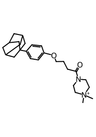 C[N+]1(C)CCN(C(=O)CCCOc2ccc(C34CC5CC(CC(C5)C3)C4)cc2)CC1